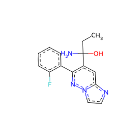 CCC(N)(O)c1cc2nccn2nc1-c1ccccc1F